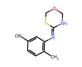 Cc1ccc(N=O)cc1/N=C1/NCOCS1